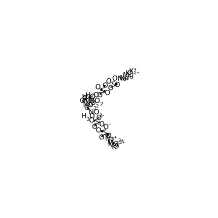 O.O.O.O=S(=O)([O-])[O-].O=S(=O)([O-])[O-].O=S(=O)([O-])[O-].O=S(=O)([O-])[O-].O=[N+]([O-])[O-].O=[N+]([O-])[O-].O=[N+]([O-])[O-].O=[N+]([O-])[O-].[K+].[K+].[K+].[Mg+2].[Mg+2].[Mg+2].[Na+].[Na+].[Na+]